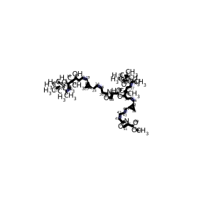 C/C=C/C(O[Si](C)(C)C(C)(C)C)C(C)(C)C(O)C/C=C\[C@@H]1C[C@@H]1C/C=C\Cc1nc(C(=O)OC(C/C=C\[C@H]2C[C@H]2/C=C/C=C\c2nc(C(=O)OC)co2)C(C)(C)C(/C=C/C)O[Si](C)(C)C(C)(C)C)co1